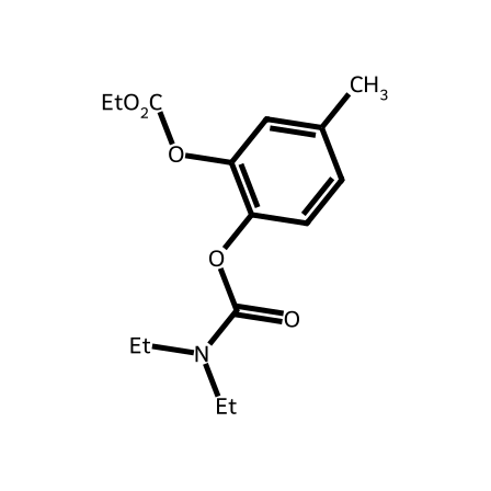 CCOC(=O)Oc1cc(C)ccc1OC(=O)N(CC)CC